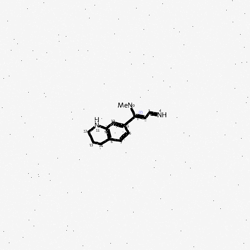 CN/C(=C\C=N)c1ccc2c(c1)NCCC2